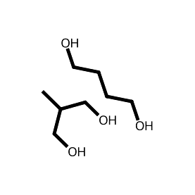 CC(CO)CO.OCCCCO